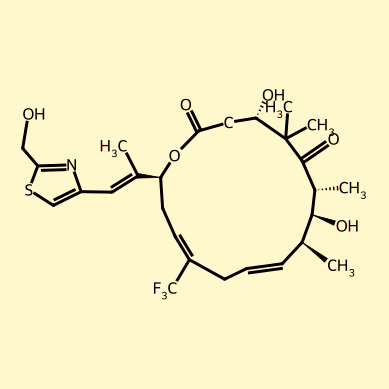 C/C(=C\c1csc(CO)n1)[C@@H]1C/C=C(/C(F)(F)F)C/C=C/[C@H](C)[C@H](O)[C@@H](C)C(=O)C(C)(C)[C@@H](O)CC(=O)O1